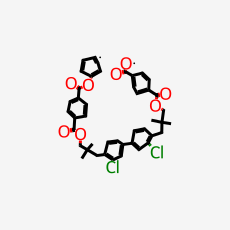 CC(C)(COC(=O)c1ccc(C([O])=O)cc1)Cc1ccc(-c2ccc(CC(C)(C)COC(=O)c3ccc(C(=O)Oc4cc[c]cc4)cc3)c(Cl)c2)cc1Cl